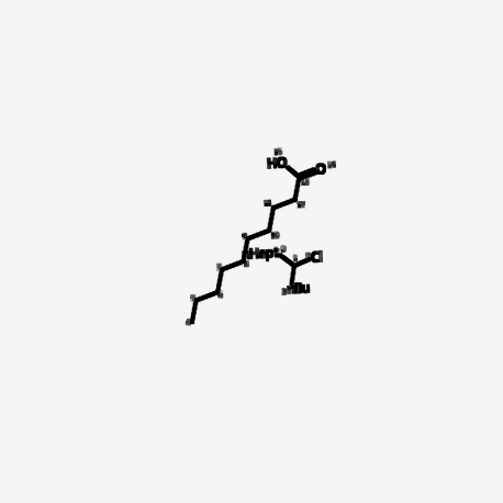 CCCCCCCC(Cl)CCCC.CCCCCCCCCC(=O)O